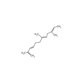 C=C(C)/C=C/CC/C(C)=C/C/C(C)=C/C